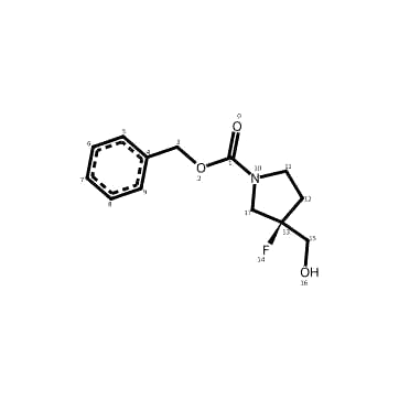 O=C(OCc1ccccc1)N1CC[C@](F)(CO)C1